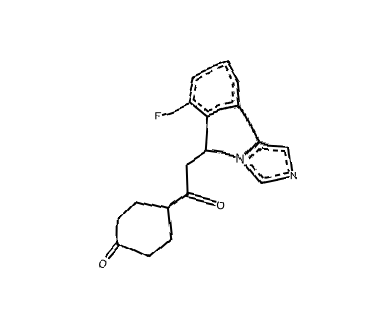 O=C1CCC(C(=O)CC2c3c(F)cccc3-c3cncn32)CC1